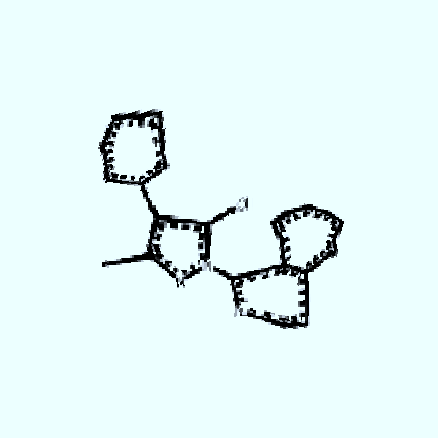 Cc1nn(-c2nccc3ccccc23)c(O)c1-c1ccccc1